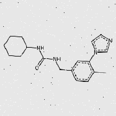 Cc1ccc(CNC(=O)NC2CCCCC2)cc1-n1ccnc1